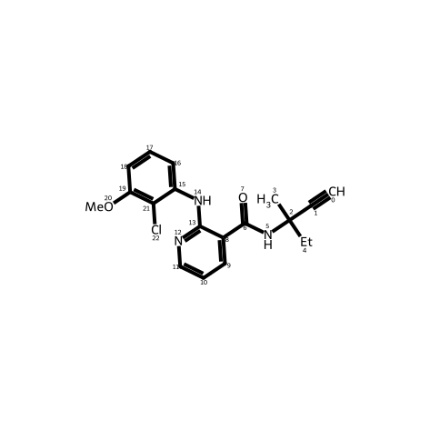 C#CC(C)(CC)NC(=O)c1cccnc1Nc1cccc(OC)c1Cl